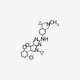 CN1Cc2cc(Nc3ncc4c(=O)c(-c5c(Cl)cccc5Cl)cn(C5CC5)c4n3)ccc2C2(CC2)C1